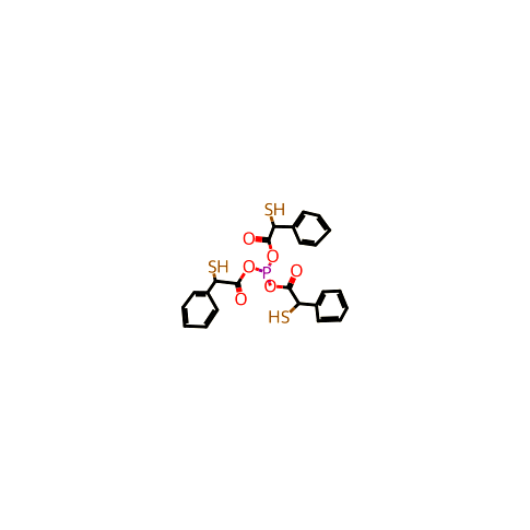 O=C(OP(OC(=O)C(S)c1ccccc1)OC(=O)C(S)c1ccccc1)C(S)c1ccccc1